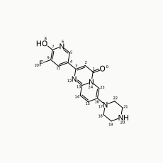 O=c1cc(-c2cnc(O)c(F)c2)nc2ccc(N3CCNCC3)cn12